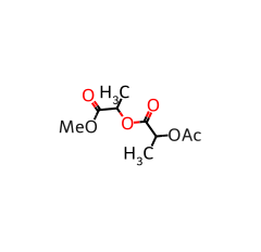 COC(=O)C(C)OC(=O)C(C)OC(C)=O